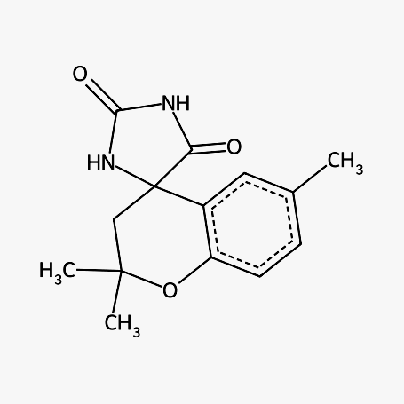 Cc1ccc2c(c1)C1(CC(C)(C)O2)NC(=O)NC1=O